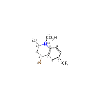 CCC1CC(Br)c2cc(C(F)(F)F)ccc2N1C(=O)O